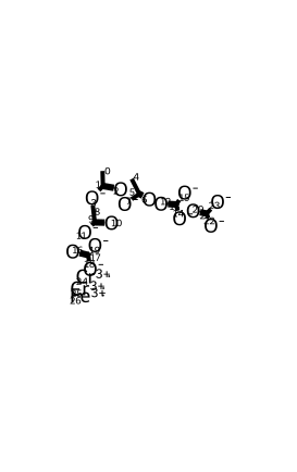 CC(=O)[O-].CC(=O)[O-].CC(=O)[O-].O=C([O-])[O-].O=C([O-])[O-].O=C([O-])[O-].[Cr+3].[Cr+3].[Fe+3]